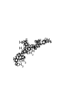 COc1ccc(CN2CCN(C3CC4(CCN(c5ccc(C(=O)NS(=O)(=O)c6cnc(NCC7CCC(C)(O)CC7)c([N+](=O)[O-])c6)c(Oc6cc7c(F)c[nH]c7nc6OC)c5)[C@H](C)C4)C3)[C@H](c3ccccc3C(C)C)C2)cc1